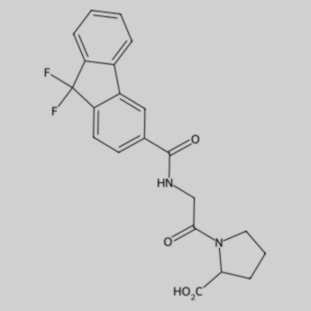 O=C(NCC(=O)N1CCCC1C(=O)O)c1ccc2c(c1)-c1ccccc1C2(F)F